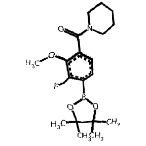 COc1c(C(=O)N2CCCCC2)ccc(B2OC(C)(C)C(C)(C)O2)c1F